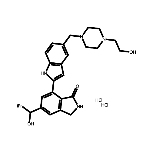 CC(C)C(O)c1cc2c(c(-c3cc4cc(CN5CCN(CCO)CC5)ccc4[nH]3)c1)C(=O)NC2.Cl.Cl